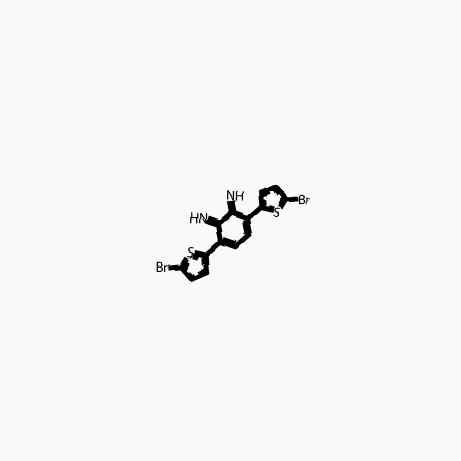 N=C1C(=N)C(c2ccc(Br)s2)=CC=C1c1ccc(Br)s1